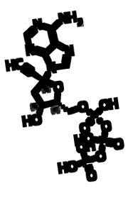 C#C[C@]1(n2cnc3c(N)ncnc32)C[C@H](O)[C@@H](COP(=O)(O)OP(=O)(O)OP(=O)(O)O)O1